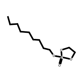 CCCCCCCCCOP1(=O)OCCO1